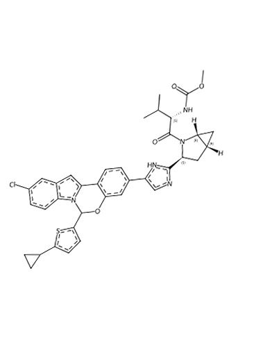 COC(=O)N[C@H](C(=O)N1[C@@H]2C[C@@H]2C[C@H]1c1ncc(-c2ccc3c(c2)OC(c2ccc(C4CC4)s2)n2c-3cc3cc(Cl)ccc32)[nH]1)C(C)C